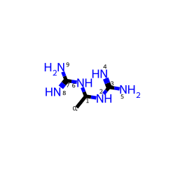 [CH2]C(NC(=N)N)NC(=N)N